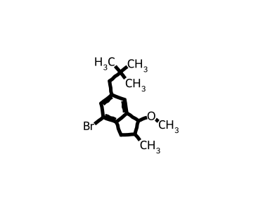 COC1c2cc(CC(C)(C)C)cc(Br)c2CC1C